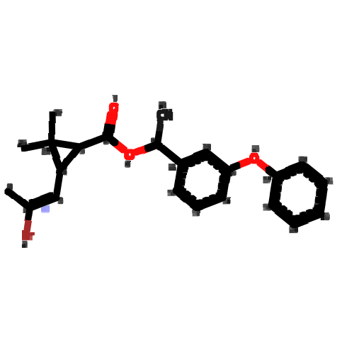 C/C(Br)=C\C1C(C(=O)OC(C#N)c2cccc(Oc3ccccc3)c2)C1(C)C